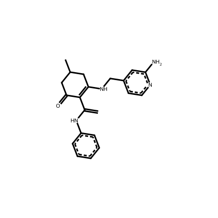 C=C(Nc1ccccc1)C1=C(NCc2ccnc(N)c2)CC(C)CC1=O